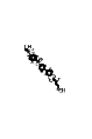 CCCC[C@H](F)C(=O)O[C@H]1CC[C@H](c2ccc(OC(=O)c3ccc(OCCC)cc3)cc2)CC1